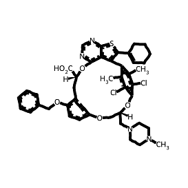 Cc1c(Cl)c2c(Cl)c(C)c1-c1c(C3=CCCCC3)sc3ncnc(c13)O[C@@H](C(=O)O)Cc1cc(ccc1OCc1ccccc1)OC[C@@H](CN1CCN(C)CC1)O2